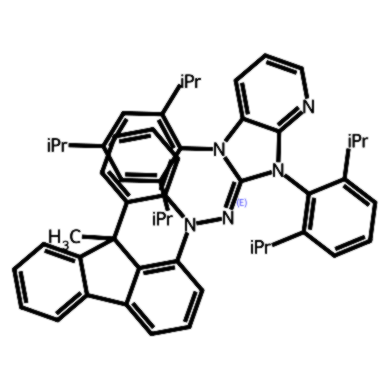 CC(C)c1cc(C(C)C)c(-n2/c(=N\N3c4ccccc4C4(C)c5ccccc5-c5cccc3c54)n(-c3c(C(C)C)cccc3C(C)C)c3ncccc32)c(C(C)C)c1